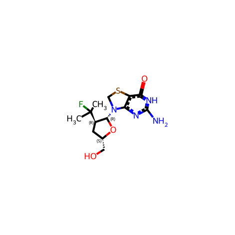 CC(C)(F)[C@@H]1C[C@@H](CO)O[C@H]1N1CSc2c1nc(N)[nH]c2=O